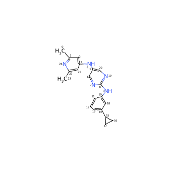 Cc1cc(Nc2cnc(Nc3cccc(C4CC4)c3)nc2)cc(C)n1